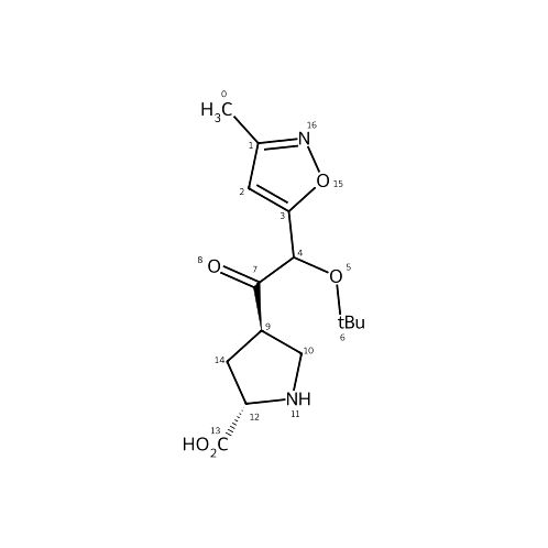 Cc1cc(C(OC(C)(C)C)C(=O)[C@H]2CN[C@H](C(=O)O)C2)on1